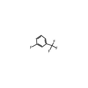 Fc1[c]ccc(C(F)(F)F)c1